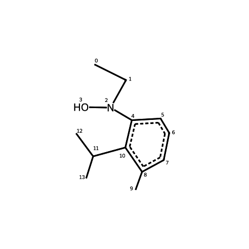 CCN(O)c1cccc(C)c1C(C)C